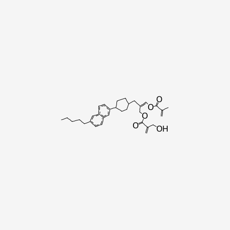 C=C(C)C(=O)O/C=C(\COC(=O)C(=C)CO)CC1CCC(c2ccc3cc(CCCCC)ccc3c2)CC1